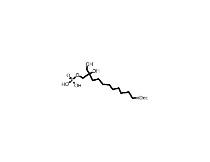 CCCCCCCCCCCCCCCCCCCC(O)(CO)COP(=O)(O)O